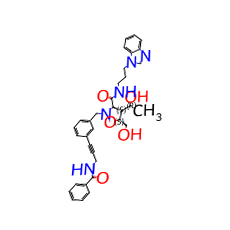 C[C@@H](O)[C@@H]1C(C(=O)NCCCn2cnc3ccccc32)N(Cc2cccc(C#CCNC(=O)c3ccccc3)c2)O[C@@H]1CO